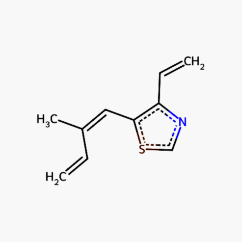 C=C/C(C)=C\c1scnc1C=C